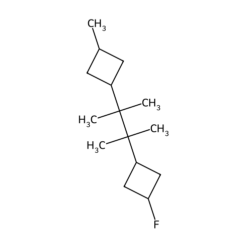 CC1CC(C(C)(C)C(C)(C)C2CC(F)C2)C1